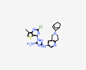 Cc1csc2c(-n3nc(Nc4cnc5c(c4)CN(C4CC6CCC4C6)CC5)nc3N)nc(Cl)nc12